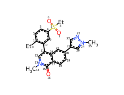 CCc1ccc(S(=O)(=O)CC)cc1-c1cn(C)c(=O)c2ccc(-c3cnn(C)c3)cc12